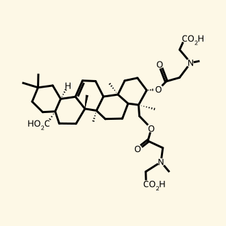 CN(CC(=O)O)CC(=O)OC[C@@]1(C)C2CC[C@]3(C)C(CC=C4[C@@H]5CC(C)(C)CC[C@]5(C(=O)O)CC[C@]43C)[C@@]2(C)CC[C@@H]1OC(=O)CN(C)CC(=O)O